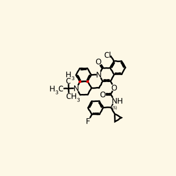 CC(C)(C)N1CCC(Cc2c(OC(=O)N[C@H](c3cccc(F)c3)C3CC3)c3cccc(Cl)c3c(=O)n2-c2ccccc2)CC1